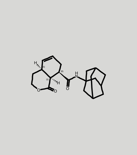 O=C1OCC[C@H]2C=CC[C@@H](C(=O)NC34CC5CC(CC(C5)C3)C4)[C@@H]12